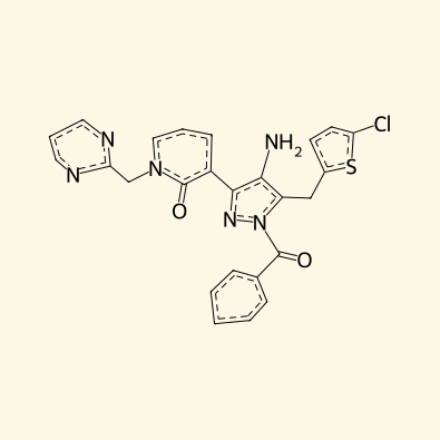 Nc1c(-c2cccn(Cc3ncccn3)c2=O)nn(C(=O)c2ccccc2)c1Cc1ccc(Cl)s1